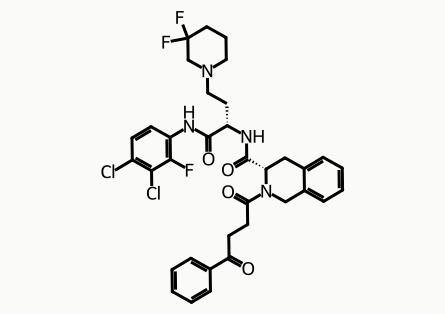 O=C(CCC(=O)N1Cc2ccccc2C[C@H]1C(=O)N[C@@H](CCN1CCCC(F)(F)C1)C(=O)Nc1ccc(Cl)c(Cl)c1F)c1ccccc1